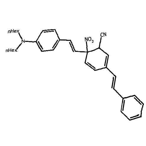 CCCCCCN(CCCCCC)c1ccc(C=CC2([N+](=O)[O-])C=CC(C=Cc3ccccc3)=CC2C#N)cc1